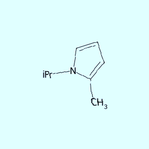 Cc1cccn1C(C)C